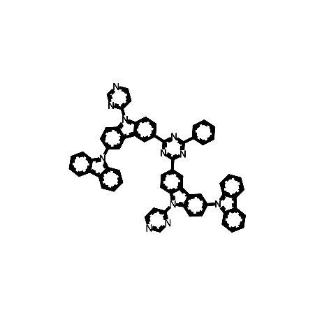 c1ccc(-c2nc(-c3ccc4c(c3)c3cc(-n5c6ccccc6c6ccccc65)ccc3n4-c3ccncn3)nc(-c3ccc4c(c3)c3cc(-n5c6ccccc6c6ccccc65)ccc3n4-c3ccncn3)n2)cc1